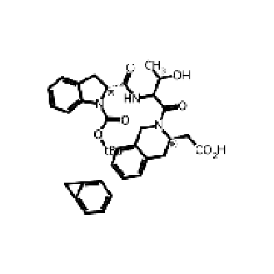 CC(O)C(NC(=O)[C@H]1Cc2ccccc2N1C(=O)OC(C)(C)C)C(=O)N1Cc2ccccc2C[C@@H]1CC(=O)O.c1ccc2c(c1)C2